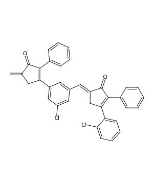 C=C1CC(c2cc(Cl)cc(/C=C3\CC(c4ccccc4Cl)=C(c4ccccc4)C3=O)c2)=C(c2ccccc2)C1=O